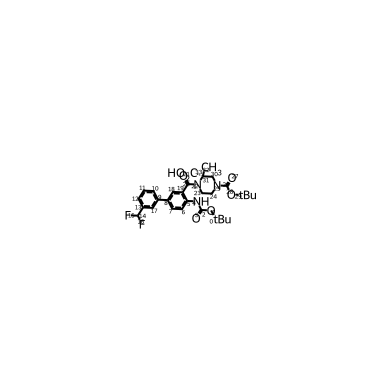 CC(C)(C)OC(=O)Nc1ccc(-c2cccc(C(F)F)c2)cc1C(=O)N1CCN(C(=O)OC(C)(C)C)C[C@@]1(C)C(=O)O